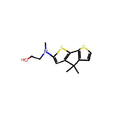 CN(CCO)c1cc2c(s1)-c1sccc1C2(C)C